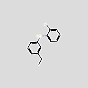 CCc1cccc(Nc2ccccc2Cl)c1